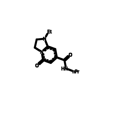 CCCNC(=O)c1cc2n(c(=O)c1)CCN2CC